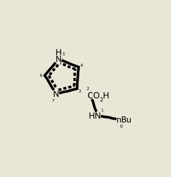 CCCCNC(=O)O.c1c[nH]cn1